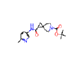 Cc1ccc(NC(=O)C2CC23CCN(C(=O)OC(C)(C)C)CC3)cn1